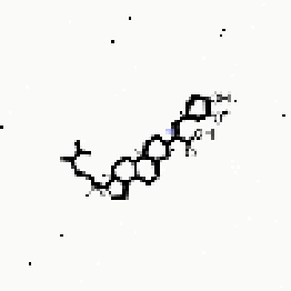 COc1cc(/C=C(\C(=O)O)C2CC[C@@]3(C)C(=CCC4C3CC[C@@]3(C)C4CC[C@@H]3[C@H](C)CCC(C)C(C)C)C2)ccc1O